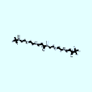 CC(C)(C)NCCOCCOCCC(=O)NCCOCCOCCC(=O)C(C)(C)C